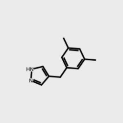 Cc1cc(C)cc(Cc2cn[nH]c2)c1